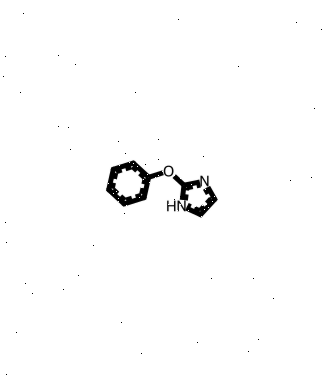 c1ccc(Oc2ncc[nH]2)cc1